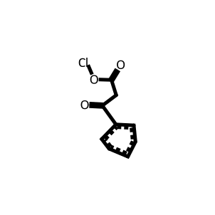 O=C(CC(=O)c1ccccc1)OCl